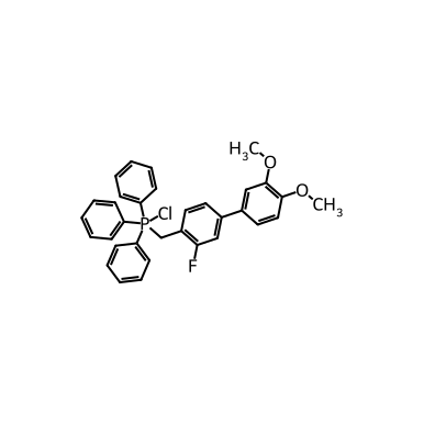 COc1ccc(-c2ccc(CP(Cl)(c3ccccc3)(c3ccccc3)c3ccccc3)c(F)c2)cc1OC